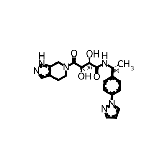 C[C@@H](NC(=O)[C@H](O)[C@@H](O)C(=O)N1CCc2cn[nH]c2C1)c1ccc(-n2cccn2)cc1